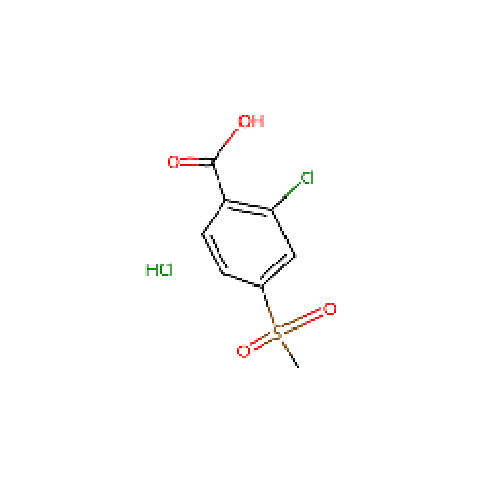 CS(=O)(=O)c1ccc(C(=O)O)c(Cl)c1.Cl